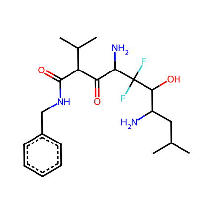 CC(C)CC(N)C(O)C(F)(F)C(N)C(=O)C(C(=O)NCc1ccccc1)C(C)C